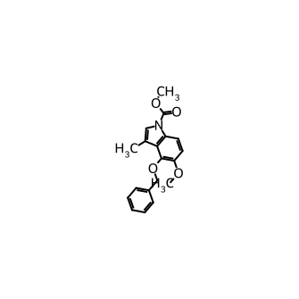 COC(=O)n1cc(C)c2c(OCc3ccccc3)c(OC)ccc21